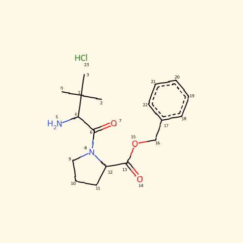 CC(C)(C)C(N)C(=O)N1CCCC1C(=O)OCc1ccccc1.Cl